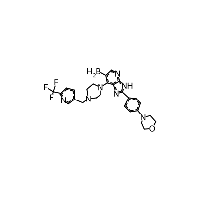 Bc1cnc2[nH]c(-c3ccc(N4CCOCC4)cc3)nc2c1N1CCN(Cc2ccc(C(F)(F)F)nc2)CC1